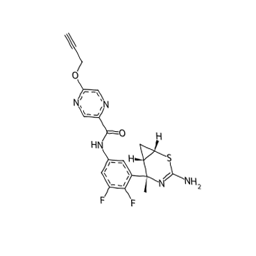 C#CCOc1cnc(C(=O)Nc2cc(F)c(F)c([C@@]3(C)N=C(N)S[C@H]4C[C@H]43)c2)cn1